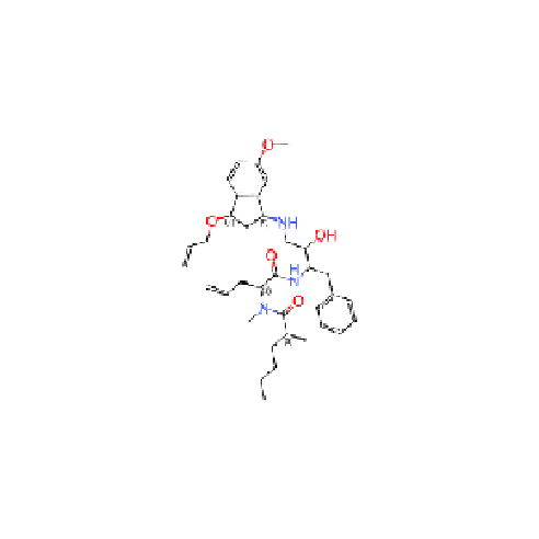 C=CCO[C@@H]1C[C@H](NCC(O)C(Cc2ccccc2)NC(=O)[C@H](CC=C)N(C)C(=O)[C@@H](C)CCCC)c2cc(OC)ccc21